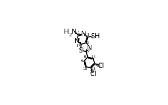 Nc1nc(S)c2nc(-c3ccc(Cl)c(Cl)c3)sc2n1